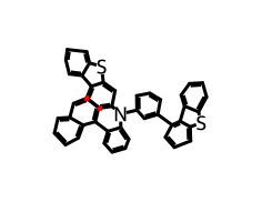 c1cc(-c2cccc3sc4ccccc4c23)cc(N(c2ccc3c(c2)sc2ccccc23)c2ccccc2-c2cccc3ccccc23)c1